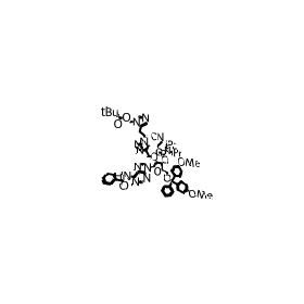 COc1ccc(C(OC[C@H]2O[C@@H](n3cnc4c(NC(=O)c5ccccc5)ncnc43)[C@H](OCc3cn(CCc4cncn4COC(=O)C(C)(C)C)nn3)[C@@H]2OP(OCCC#N)N(C(C)C)C(C)C)(c2ccccc2)c2ccc(OC)cc2)cc1